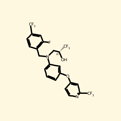 O[C@H](CN(Cc1ccc(C(F)(F)F)cc1F)c1cccc(Oc2ccnc(C(F)(F)F)c2)c1)C(F)(F)F